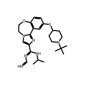 CC(C)N/C(=N\C=N)c1cn2c(n1)-c1cc(SC3CCN(C(C)(C)C)CC3)ccc1OCC2